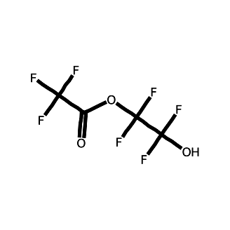 O=C(OC(F)(F)C(O)(F)F)C(F)(F)F